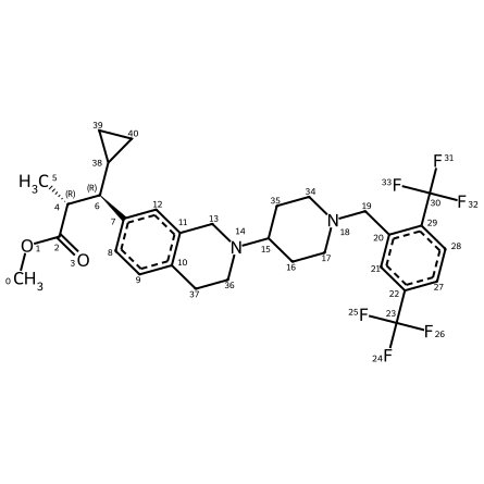 COC(=O)[C@H](C)[C@H](c1ccc2c(c1)CN(C1CCN(Cc3cc(C(F)(F)F)ccc3C(F)(F)F)CC1)CC2)C1CC1